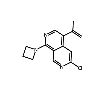 C=C(C)c1cnc(N2CCC2)c2cnc(Cl)cc12